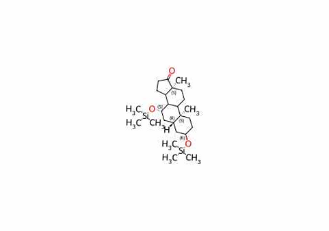 C[C@]12CCC3C(C1CCC2=O)[C@@H](O[Si](C)(C)C)C[C@H]1C[C@H](O[Si](C)(C)C)CC[C@]31C